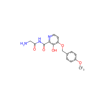 NCC(=O)NC(=O)c1nccc(OCc2ccc(OC(F)(F)F)cc2)c1O